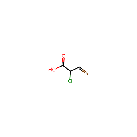 O=C(O)C(Cl)C=S